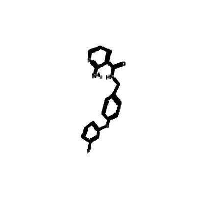 Nc1ncccc1C(=O)NCc1ccc(Oc2cccc(F)c2)cc1